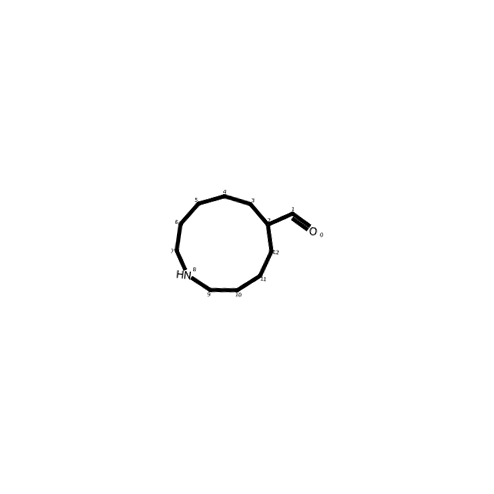 O=CC1CCCCCNCCCC1